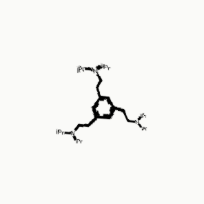 CC(C)N(CCc1[c]c(CCN(C(C)C)C(C)C)cc(CCN(C(C)C)C(C)C)c1)C(C)C